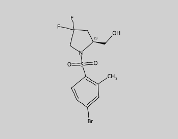 Cc1cc(Br)ccc1S(=O)(=O)N1CC(F)(F)C[C@H]1CO